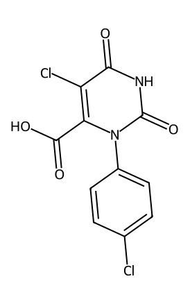 O=C(O)c1c(Cl)c(=O)[nH]c(=O)n1-c1ccc(Cl)cc1